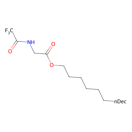 CCCCCCCCCCCCCCCCOC(=O)CNC(=O)C(F)(F)F